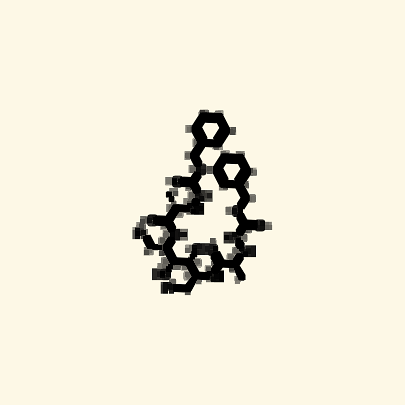 CC(C)C[C@H](NC(=O)[C@H](C)NNC(=O)OCc1ccccc1)[C@@H](O)[C@H](O)[C@H](CC(C)C)NC(=O)[C@H](C)NNC(=O)OCc1ccccc1